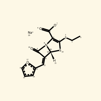 CCSC1=C(C(=O)[O-])N2C(=O)C(=Cc3ccco3)[C@H]2S1.[Na+]